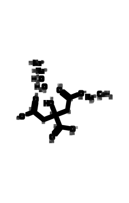 O.O.O=C([O-])CC(O)(CC(=O)[O-])C(=O)[O-].[CaH2].[Na+].[Na+].[Na+]